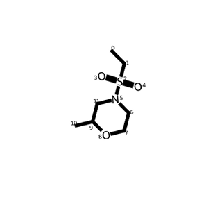 CCS(=O)(=O)N1CCOC(C)C1